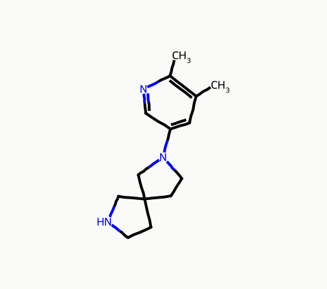 Cc1cc(N2CCC3(CCNC3)C2)cnc1C